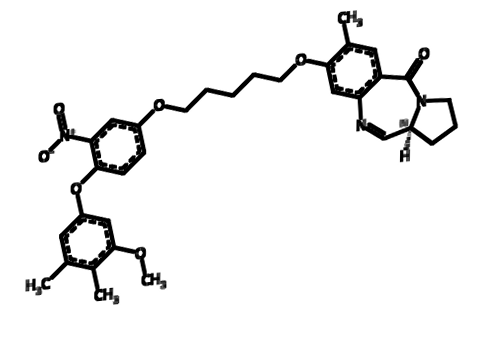 COc1cc(Oc2ccc(OCCCCCOc3cc4c(cc3C)C(=O)N3CCC[C@H]3C=N4)cc2[N+](=O)[O-])cc(C)c1C